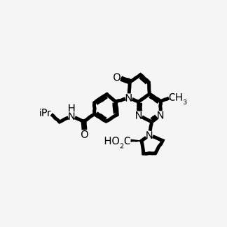 Cc1nc(N2CCC[C@H]2C(=O)O)nc2c1ccc(=O)n2-c1ccc(C(=O)NCC(C)C)cc1